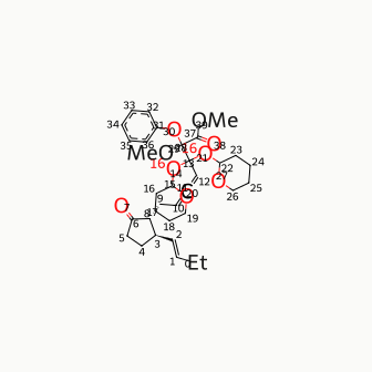 CC/C=C/[C@H]1CCC(=O)[C@@H]1CC=C=CC([16O]C1CCCCO1)([16O]C1CCCCO1)C(OC)(Oc1ccccc1)C(=O)OC